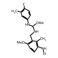 CCNc1ccc(OC)c(CNC(Nc2ccc(F)c(C)c2)OC)c1C